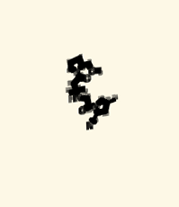 COCC1CCCN1C(=O)CC(C)(C)NCC(=O)N1C[C@@H](C)C[C@H]1C#N